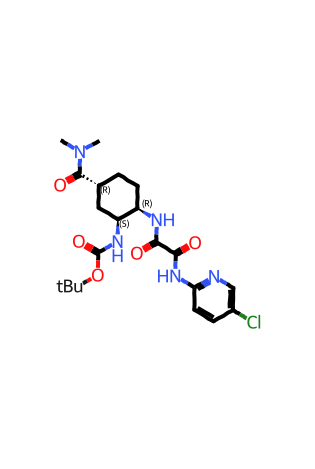 CN(C)C(=O)[C@@H]1CC[C@@H](NC(=O)C(=O)Nc2ccc(Cl)cn2)[C@@H](NC(=O)OC(C)(C)C)C1